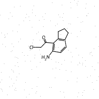 Nc1ccc2c(c1C(=O)CCl)CCC2